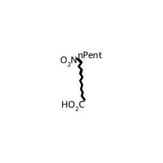 CCCCC/C(=C/C/C=C/CCCCCCCC(=O)O)[N+](=O)[O-]